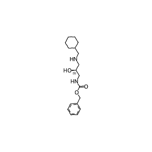 O=C(NC[C@@H](O)CNCC1CCCCC1)OCc1ccccc1